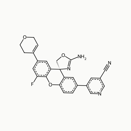 N#Cc1cncc(-c2ccc3c(c2)[C@@]2(COC(N)=N2)c2cc(C4=CCOCC4)cc(F)c2O3)c1